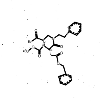 CCC(=O)CCN(CCc1ccccc1)C(=O)[C@H](CC(=O)OCc1ccccc1)NC(=O)OC(C)(C)C